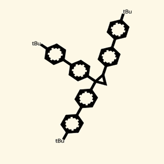 CC(C)(C)c1ccc(-c2ccc(C3CC3(c3ccc(-c4ccc(C(C)(C)C)cc4)cc3)c3ccc(-c4ccc(C(C)(C)C)cc4)cc3)cc2)cc1